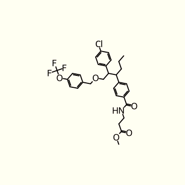 CCCC(c1ccc(C(=O)NCCC(=O)OC)cc1)C(COCc1ccc(OC(F)(F)F)cc1)c1ccc(Cl)cc1